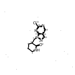 O=C1NCCCC1Cn1ncc2cnc(Cl)nc21